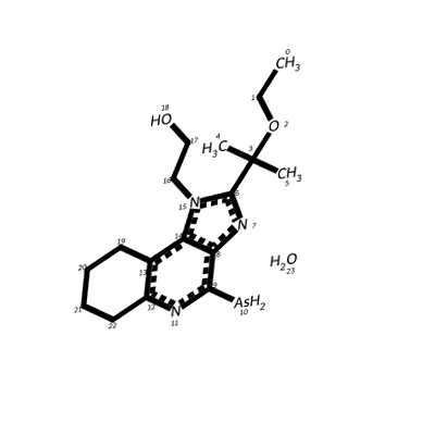 CCOC(C)(C)c1nc2c([AsH2])nc3c(c2n1CCO)CCCC3.O